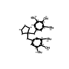 CC(C)(C)c1cc(CC2(Cc3cc(C(C)(C)C)c(O)c(C(C)(C)C)c3)CCCC2)cc(C(C)(C)C)c1O